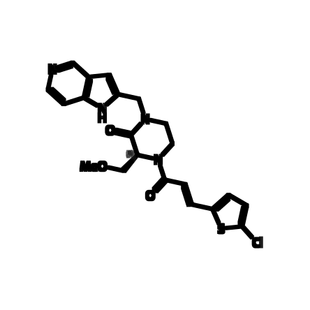 COC[C@H]1C(=O)N(Cc2cc3cnccc3[nH]2)CCN1C(=O)C=Cc1ccc(Cl)s1